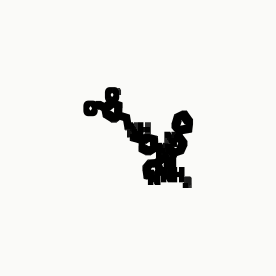 COc1cc(CCNCc2ccc(-n3c(-c4cccnc4N)nc4ccc(-c5ccccc5)nc43)cc2)ccc1C=O